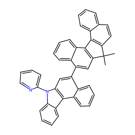 CC1(C)c2ccc3ccccc3c2-c2c1cc(-c1cc3c(c4ccccc14)c1ccccc1n3-c1ccccn1)c1ccccc21